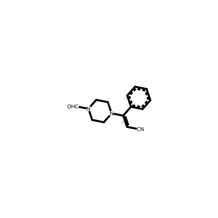 N#C/C=C(\c1ccccc1)N1CCN(C=O)CC1